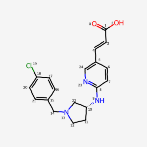 O=C(O)C=Cc1ccc(N[C@@H]2CCN(Cc3ccc(Cl)cc3)C2)nc1